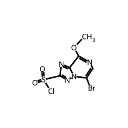 COc1ncc(Br)n2nc(S(=O)(=O)Cl)nc12